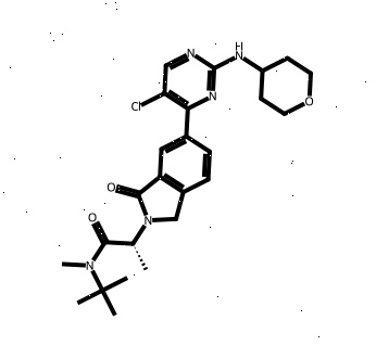 C[C@H](C(=O)N(C)C(C)(C)C)N1Cc2ccc(-c3nc(NC4CCOCC4)ncc3Cl)cc2C1=O